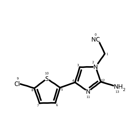 N#CCn1cc(-c2ccc(Cl)s2)nc1N